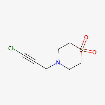 O=S1(=O)CCN(CC#CCl)CC1